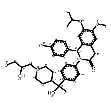 COc1cc2c(cc1OC(C)C)[C@H](c1ccc(Cl)cc1)N(c1ccc(C(C)(O)C3CCN(CC(O)CO)CC3)cc1)C(=O)C2